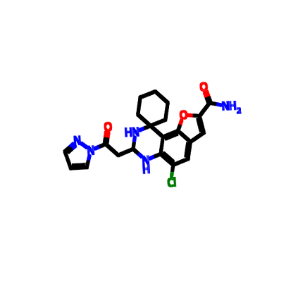 NC(=O)c1cc2cc(Cl)c3c(c2o1)C1(CCCCC1)NC(CC(=O)n1cccn1)N3